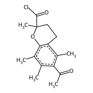 CC(=O)c1c(C)c(C)c2c(c1C)CCC(C)(C(=O)Cl)O2